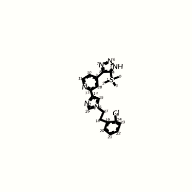 CS(C)(C)c1[nH]nnc1-c1ccnc(-c2cn(CCc3ccccc3Cl)cn2)c1